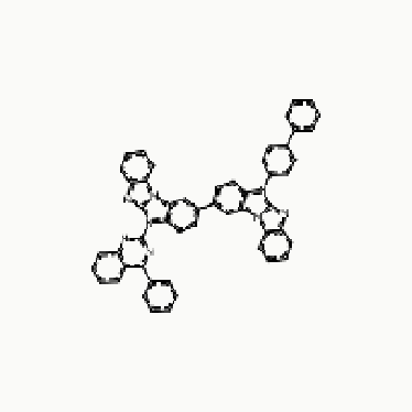 c1ccc(-c2ccc(-n3c4ccc(-c5ccc6c(c5)n5c7ccccc7nc5n6-c5nc(-c6ccccc6)c6ccccc6n5)cc4n4c5ccccc5nc34)cc2)cc1